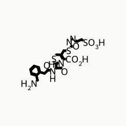 NCc1ccccc1CC(=O)NC1C(=O)N2C(C(=O)O)=C(CSc3nnc(CS(=O)(=O)O)o3)CS[C@@H]12